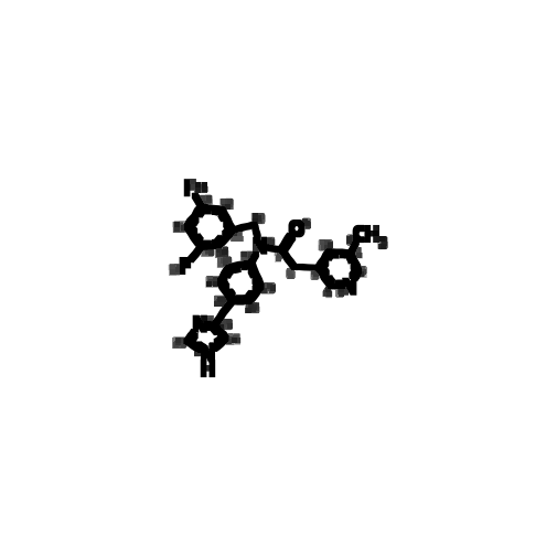 Cc1cncc(CC(=O)N(Cc2cc(F)cc(F)c2)c2ccc(-c3c[nH]cn3)cc2)c1